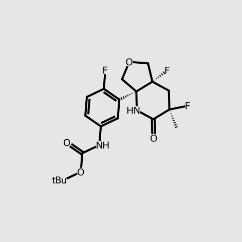 CC(C)(C)OC(=O)Nc1ccc(F)c([C@]23COC[C@@]2(F)C[C@@](C)(F)C(=O)N3)c1